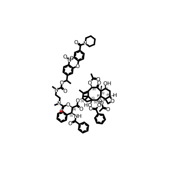 CC(=O)O[C@H]1C(=O)[C@@]2(C)[C@H]([C@H](OC(=O)c3ccccc3)[C@]3(O)C[C@H](OC(=O)[C@H](OC(=O)N(C)CCN(C)C(=O)OC(C)c4ccc([N+](=O)[O-])c(Oc5ccc(C(=O)N6CCCCC6)cc5)c4)[C@@H](NC(=O)c4ccccc4)c4ccccc4)C(C)=C1C3(C)C)[C@]1(OC(C)=O)CO[C@@H]1C[C@@H]2O